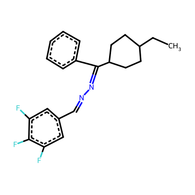 CCC1CCC(C(=NN=Cc2cc(F)c(F)c(F)c2)c2ccccc2)CC1